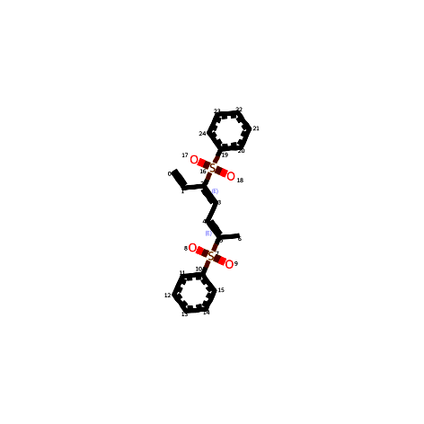 C=C/C(=C\C=C(/C)S(=O)(=O)c1ccccc1)S(=O)(=O)c1ccccc1